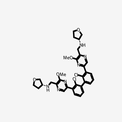 COc1nc(-c2cccc(-c3cccc(-c4cnc(CN[C@@H]5CCOC5)c(OC)n4)c3Cl)c2Cl)cnc1CN[C@@H]1CCOC1